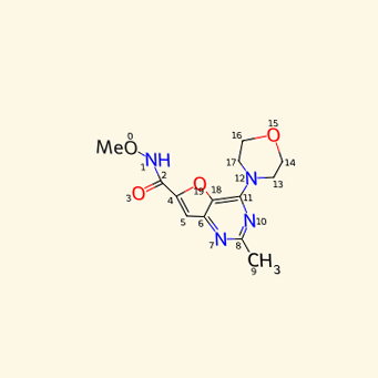 CONC(=O)c1cc2nc(C)nc(N3CCOCC3)c2o1